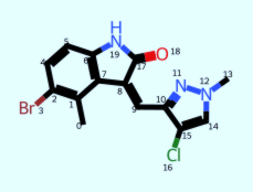 Cc1c(Br)ccc2c1C(=Cc1nn(C)cc1Cl)C(=O)N2